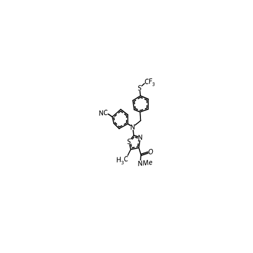 CNC(=O)c1nc(N(Cc2ccc(SC(F)(F)F)cc2)c2ccc(C#N)cc2)sc1C